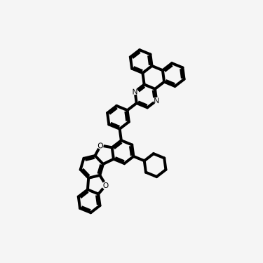 c1cc(-c2cnc3c4ccccc4c4ccccc4c3n2)cc(-c2cc(C3CCCCC3)cc3c2oc2ccc4c5ccccc5oc4c23)c1